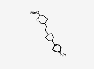 CCCc1ccc(C2CCC(CCC3CCC(OC)OC3)CC2)cc1